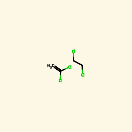 C=C(Cl)Cl.ClCCCl